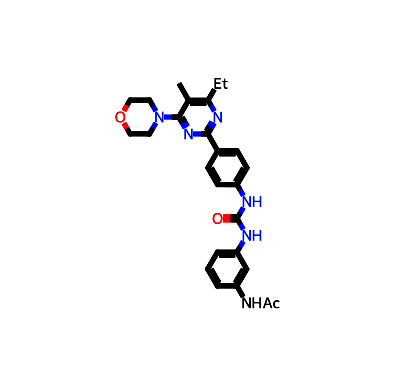 CCc1nc(-c2ccc(NC(=O)Nc3cccc(NC(C)=O)c3)cc2)nc(N2CCOCC2)c1C